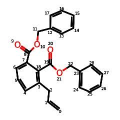 C=CCc1cccc(C(=O)OCc2ccccc2)c1C(=O)OCc1ccccc1